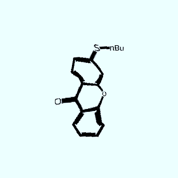 CCCCSc1ccc2c(=O)c3ccccc3oc2c1